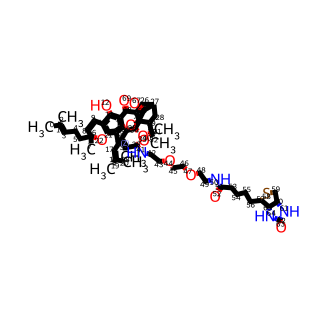 CC(C)=CCCC1(C)C=Cc2c(O)c3c(c(CC=C(C)C)c2O1)OC12C(=CC4CC1C(C)(C)OC2(C/C=C(/C)C(=O)NCCOCCOCCNC(=O)CCCCC1SCC2NC(=O)NC21)C4=O)C3=O